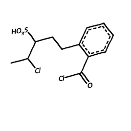 CC(Cl)C(CCc1ccccc1C(=O)Cl)S(=O)(=O)O